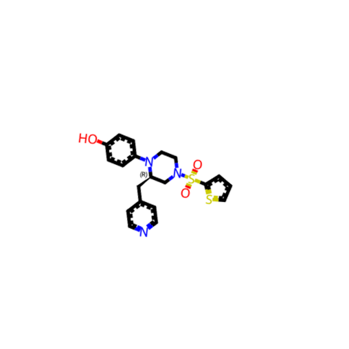 O=S(=O)(c1cccs1)N1CCN(c2ccc(O)cc2)[C@H](Cc2ccncc2)C1